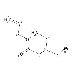 C=CCOC(=O)CC(CN)CC(C)C